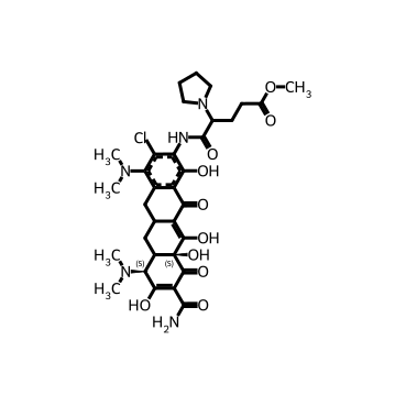 COC(=O)CCC(C(=O)Nc1c(O)c2c(c(N(C)C)c1Cl)CC1CC3[C@H](N(C)C)C(O)=C(C(N)=O)C(=O)[C@@]3(O)C(O)=C1C2=O)N1CCCC1